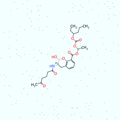 CCCC(CC)OC(=O)OC(C)OC(=O)c1cccc2c1OB(O)[C@@H](NC(=O)CCCC(C)=O)C2